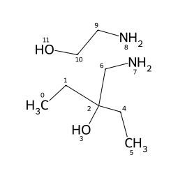 CCC(O)(CC)CN.NCCO